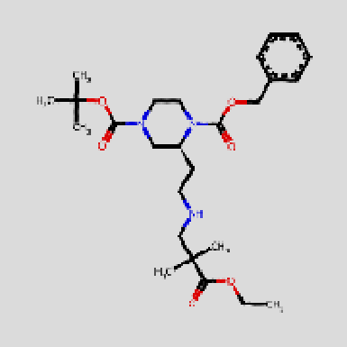 CCOC(=O)C(C)(C)CNCC[C@H]1CN(C(=O)OC(C)(C)C)CCN1C(=O)OCc1ccccc1